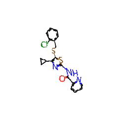 O=C(Nc1nc(C2CC2)c(SCc2ccccc2Cl)s1)c1ccccn1